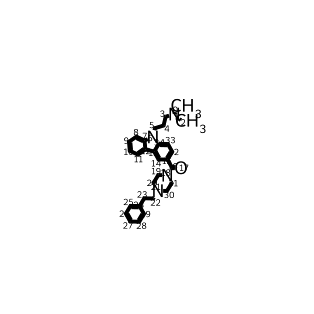 CN(C)CCCn1c2ccccc2c2cc(C(=O)N3CCN(CCc4ccccc4)CC3)ccc21